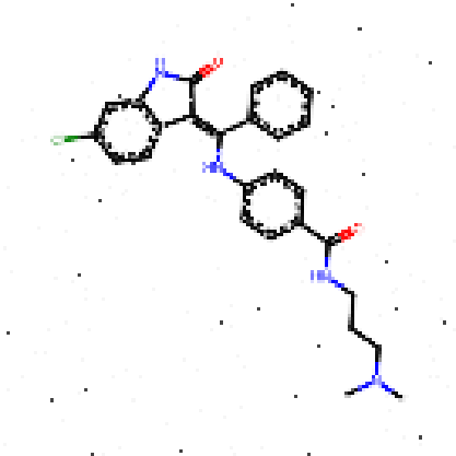 CN(C)CCCNC(=O)c1ccc(NC(=C2C(=O)Nc3cc(Cl)ccc32)c2ccccc2)cc1